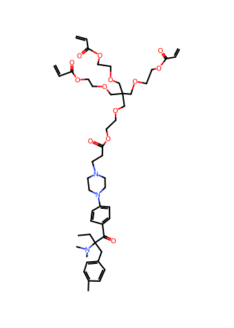 C=CC(=O)OCCOCC(COCCOC(=O)C=C)(COCCOC(=O)C=C)COCCOC(=O)CCN1CCN(c2ccc(C(=O)C(CC)(Cc3ccc(C)cc3)N(C)C)cc2)CC1